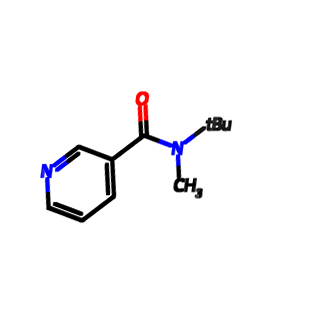 CN(C(=O)c1cccnc1)C(C)(C)C